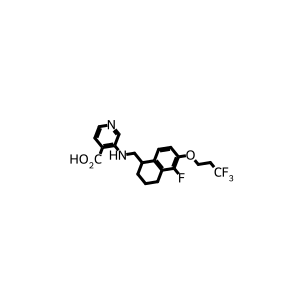 O=C(O)c1ccncc1NCC1CCCc2c1ccc(OCCC(F)(F)F)c2F